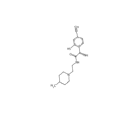 C#Cc1ccc(C(=N)C(=O)NCCN2CCC(C)CC2)c(S)c1